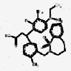 CCN(N)c1ccc(C(CC(=O)O)c2ccc(C)c(CN3CCCc4ccccc4S3(=O)=O)c2)c(F)c1N